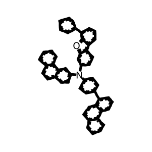 c1ccc(-c2cccc3c2oc2cc(N(c4ccc(-c5cccc6c5ccc5ccccc56)cc4)c4ccc5ccc6ccccc6c5c4)ccc23)cc1